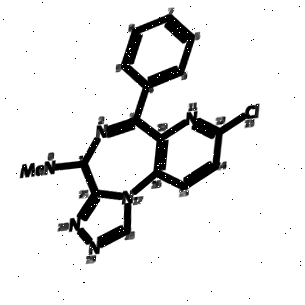 CNC1N=C(c2ccccc2)c2nc(Cl)ccc2-n2cnnc21